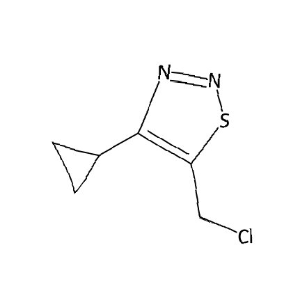 ClCc1snnc1C1CC1